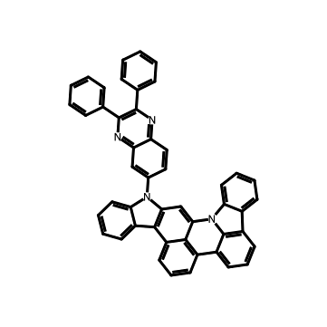 c1ccc(-c2nc3ccc(-n4c5ccccc5c5c6cccc7c8cccc9c%10ccccc%10n(c(cc54)c76)c89)cc3nc2-c2ccccc2)cc1